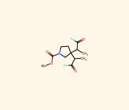 CC(C(=O)F)C1(C(C)C(=O)F)CCN(C(=O)OC(C)(C)C)C1